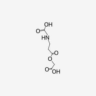 O=C(O)CNCCC(=O)OCC(=O)O